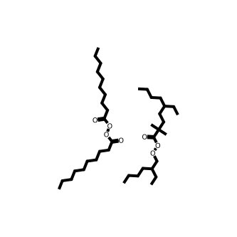 CCCCC(CC)CCC(C)(C)C(=O)OOCC(CC)CCCC.CCCCCCCCCC(=O)OOC(=O)CCCCCCCCC